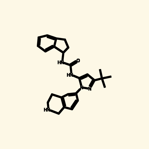 CC(C)(C)c1cc(NC(=O)NC2CCc3ccccc32)n(-c2ccc3c(c2)CCNC3)n1